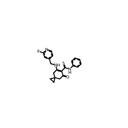 O=C1CC2(CC2)CC(NCc2ccnc(F)c2)=C1C(=S)Nc1ccccc1